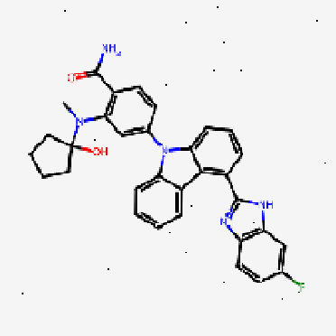 CN(c1cc(-n2c3ccccc3c3c(-c4nc5ccc(F)cc5[nH]4)cccc32)ccc1C(N)=O)C1(O)CCCC1